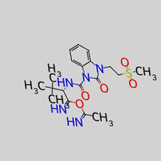 CC(=N)OC(=N)[C@@H](NC(=O)n1c(=O)n(CCS(C)(=O)=O)c2ccccc21)C(C)(C)C